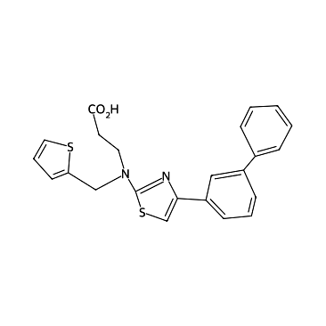 O=C(O)CCN(Cc1cccs1)c1nc(-c2cccc(-c3ccccc3)c2)cs1